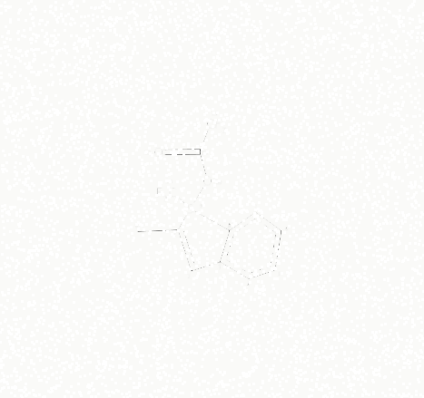 CC1=Cc2ccccc2S1(OC(=O)C(F)(F)F)C(F)(F)F